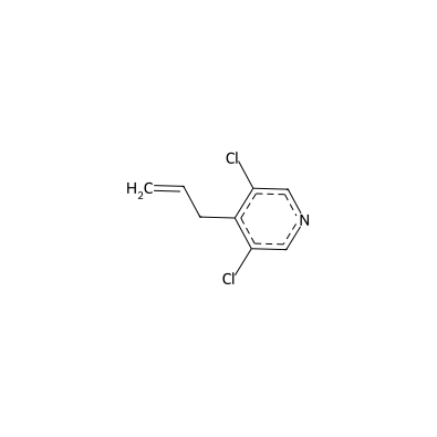 C=CCc1c(Cl)cncc1Cl